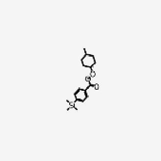 CC1CC[C](OOC(=O)c2ccc([Si](C)(C)C)cc2)CC1